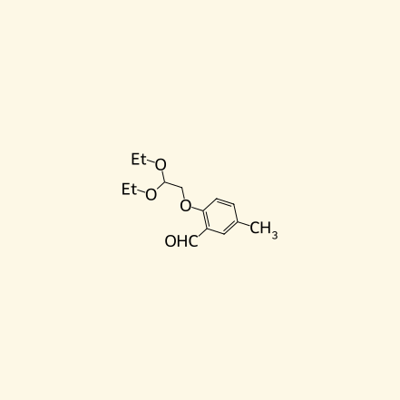 CCOC(COc1ccc(C)cc1C=O)OCC